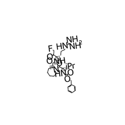 CC(C)[C@H](NC(=O)OCc1ccccc1)C(=O)N1CCCCC[C@H]1C(=O)N[C@@H](CCCNC(=N)N)C(=O)CF